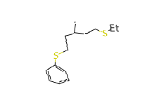 CCSCCC(C)CCSc1ccccc1